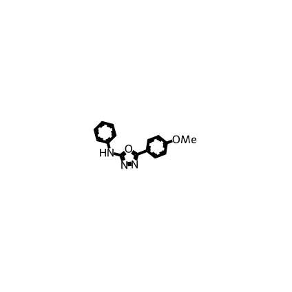 COc1ccc(-c2nnc(Nc3ccccc3)o2)cc1